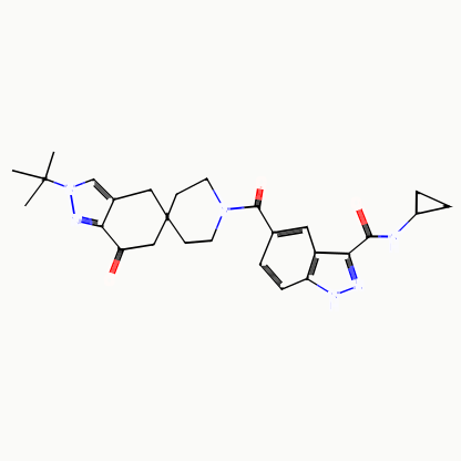 CC(C)(C)n1cc2c(n1)C(=O)CC1(CCN(C(=O)c3ccc4[nH]nc(C(=O)NC5CC5)c4c3)CC1)C2